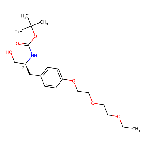 CCOCCOCCOc1ccc(C[C@@H](CO)NC(=O)OC(C)(C)C)cc1